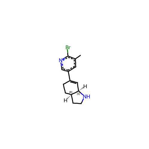 Cc1cc(C2=C[C@H]3NCC[C@H]3CC2)cnc1Br